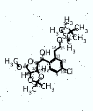 CO[C@@H]1O[C@H]([C@H](O)c2ccc(Cl)cc2CCO[Si](C)(C)C(C)(C)C)[C@H]2OC(C)(C)O[C@@H]12